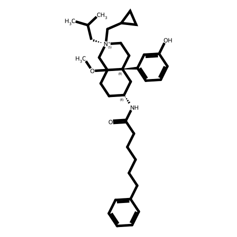 COC12CC[C@@H](NC(=O)CCCCCc3ccccc3)C[C@@]1(c1cccc(O)c1)CC[N@+](CC(C)C)(CC1CC1)C2